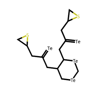 [Te]=C(CC1CS1)CC1C[Te]C[Te]C1CC(=[Te])CC1CS1